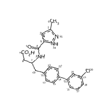 Cc1cc(C(=O)NC(CC(=O)O)Cc2ccc(-c3cccc(Cl)c3)cc2)[nH]n1